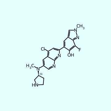 CN(c1cnc2nc(-c3cc4cn(C)nc4c(F)c3O)cc(Cl)c2c1)[C@H]1CCNC1